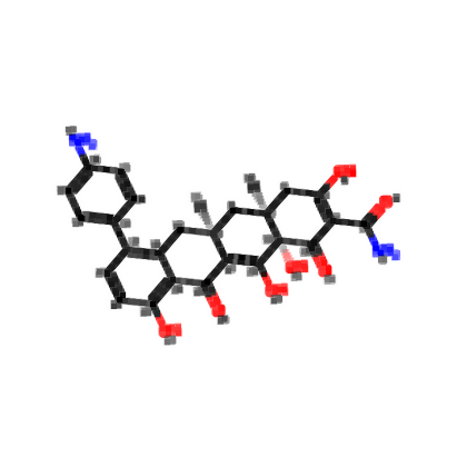 NC(=O)C1=C(O)C[C@@H]2C[C@@H]3Cc4c(-c5ccc(N)cc5)ccc(O)c4C(=O)C3=C(O)[C@]2(O)C1=O